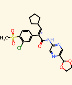 CS(=O)(=O)c1ccc(/C(=C\C2CCCC2)C(=O)Nc2cnc(C3OCCO3)cn2)cc1Cl